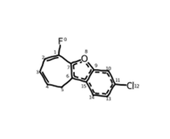 FC1=CC=CCc2c1oc1cc(Cl)ccc21